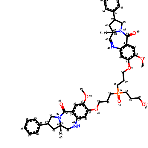 COc1cc2c(cc1OCCCP(=O)(CCCO)CCCOc1cc3c(cc1OC)C(=O)N1CC(c4ccccc4)C[C@H]1CN3)N=C[C@@H]1CC(c3ccccc3)CN1C2=O